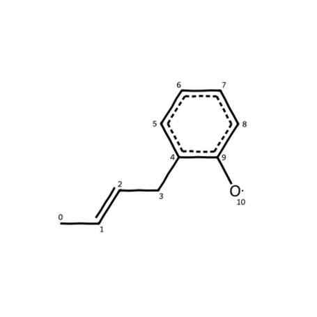 CC=CCc1ccccc1[O]